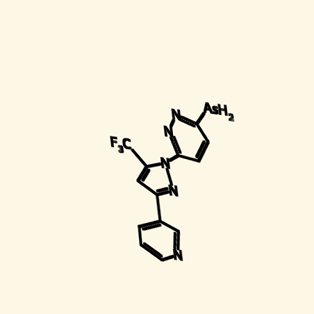 FC(F)(F)c1cc(-c2cccnc2)nn1-c1ccc([AsH2])nn1